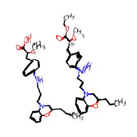 CCCC1CN(CCCNc2ccc(CC(OC)C(=O)O)cc2)c2ccccc2O1.CCCC1CN(CCCNc2ccc(C[C@H](OC)C(=O)OCC)cc2)c2ccccc2O1